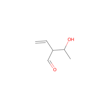 C=CC(C=O)C(C)O